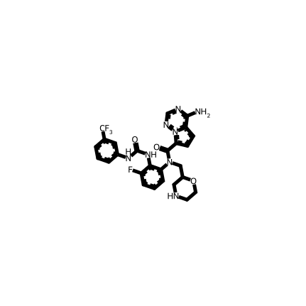 Nc1ncnn2c(C(=O)N(CC3CNCCO3)c3cccc(F)c3NC(=O)Nc3cccc(C(F)(F)F)c3)ccc12